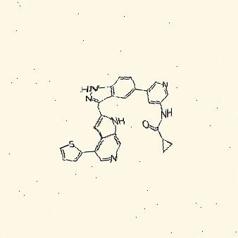 O=C(Nc1cncc(-c2ccc3[nH]nc(-c4cc5c(-c6cccs6)cncc5[nH]4)c3c2)c1)C1CC1